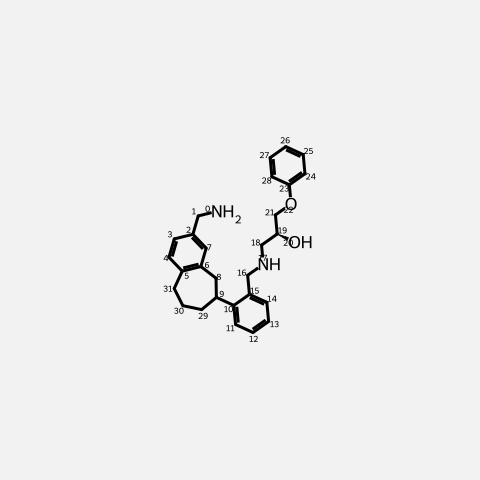 NCc1ccc2c(c1)CC(c1ccccc1CNC[C@H](O)COc1ccccc1)CCC2